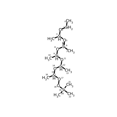 C[SiH2]O[SiH](C)O[SiH](C)O[SiH](C)O[SiH](C)O[SiH](C)OO[Si](C)(C)C